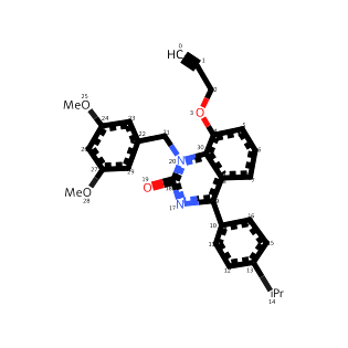 C#CCOc1cccc2c(-c3ccc(C(C)C)cc3)nc(=O)n(Cc3cc(OC)cc(OC)c3)c12